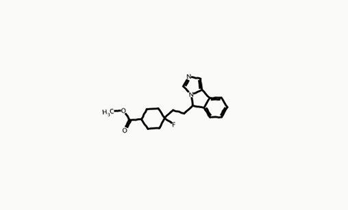 COC(=O)C1CCC(F)(CCC2c3ccccc3-c3cncn32)CC1